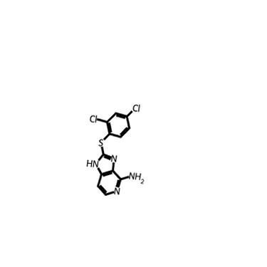 Nc1nccc2[nH]c(Sc3ccc(Cl)cc3Cl)nc12